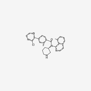 Cc1cccc2ccnc(N(C(=O)c3ccc(-c4nccnc4Cl)cc3F)[C@@H]3CCCNC3)c12